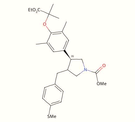 CCOC(=O)C(C)(C)Oc1c(C)cc([C@H]2CN(C(=O)OC)CC2Cc2ccc(SC)cc2)cc1C